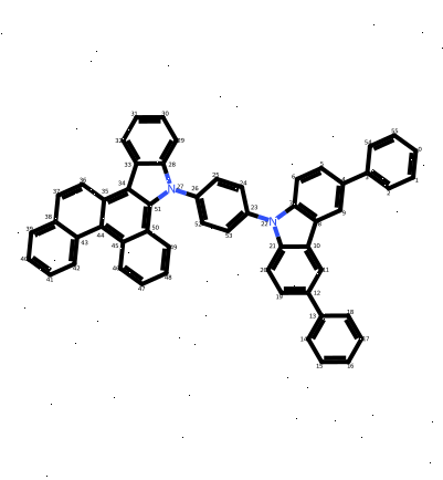 c1ccc(-c2ccc3c(c2)c2cc(-c4ccccc4)ccc2n3-c2ccc(-n3c4ccccc4c4c5ccc6ccccc6c5c5ccccc5c43)cc2)cc1